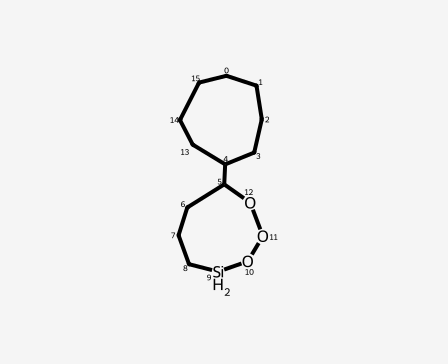 C1CCCC(C2CCC[SiH2]OOO2)CCC1